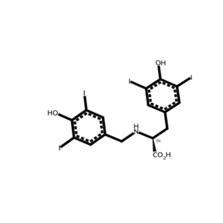 O=C(O)[C@H](Cc1cc(I)c(O)c(I)c1)NCc1cc(I)c(O)c(I)c1